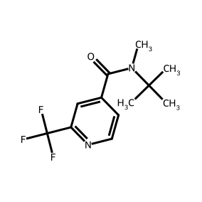 CN(C(=O)c1ccnc(C(F)(F)F)c1)C(C)(C)C